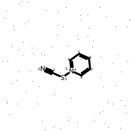 N#CS[n+]1ccccc1